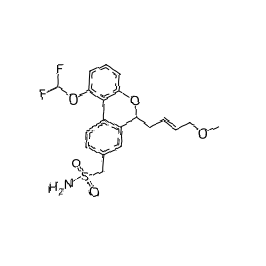 COC/C=C/CC1Oc2cccc(OC(F)F)c2-c2ccc(CS(N)(=O)=O)cc21